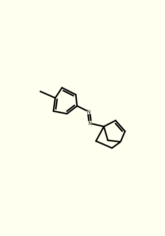 Cc1ccc(N=NC23C=CC(CC2)C3)cc1